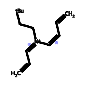 C=C/C=C\[N+](=C/C=C)CCC(C)(C)C